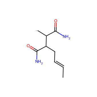 [CH2]C(C(N)=O)C(CC=CC)C(N)=O